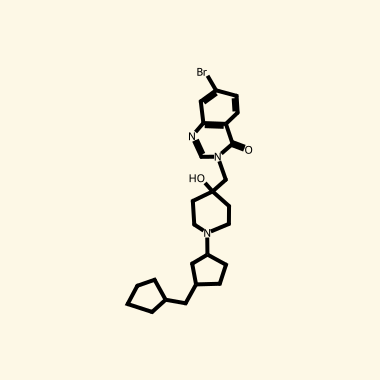 O=c1c2ccc(Br)cc2ncn1CC1(O)CCN(C2CCC(CC3CCCC3)C2)CC1